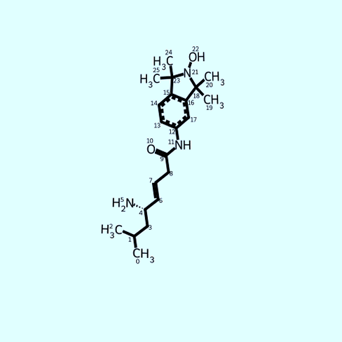 CC(C)C[C@H](N)/C=C/CC(=O)Nc1ccc2c(c1)C(C)(C)N(O)C2(C)C